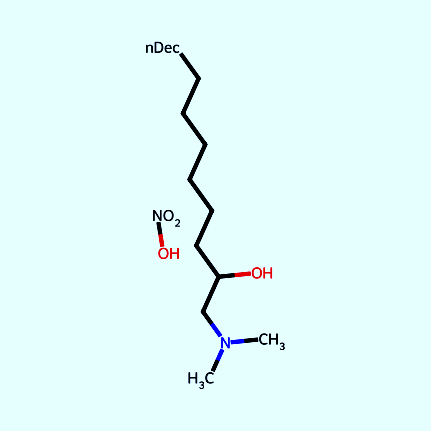 CCCCCCCCCCCCCCCCC(O)CN(C)C.O=[N+]([O-])O